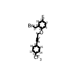 Fc1ccc(OCC#Cc2ccc(C(F)(F)F)cc2)c(CBr)c1